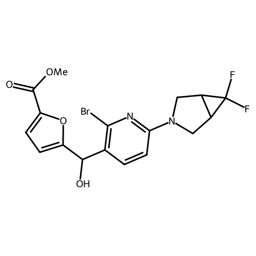 COC(=O)c1ccc(C(O)c2ccc(N3CC4C(C3)C4(F)F)nc2Br)o1